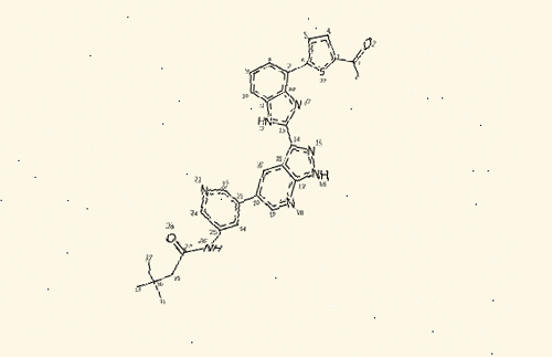 CC(=O)c1ccc(-c2cccc3[nH]c(-c4n[nH]c5ncc(-c6cncc(NC(=O)CC(C)(C)C)c6)cc45)nc23)s1